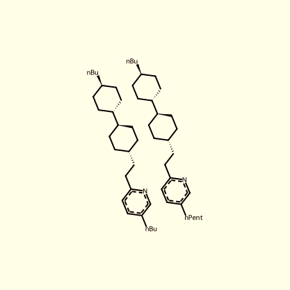 CCCCCc1ccc(CC[C@H]2CC[C@H]([C@H]3CC[C@H](CCCC)CC3)CC2)nc1.CCCCc1ccc(CC[C@H]2CC[C@H]([C@H]3CC[C@H](CCCC)CC3)CC2)nc1